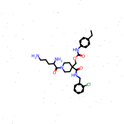 CCc1ccc(NC(=O)OCC2(C(=O)NCc3ccccc3Cl)CCN(C(=O)C(N)CCCN)CC2)cc1